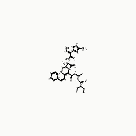 CCC(CC)C(=O)OC(C)OC(=O)C1=C(/C=C\c2cccnc2)CS[C@H]2[C@H](NC(=O)C(=NO)c3csc(N)n3)C(=O)N12